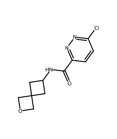 O=C(NC1CC2(COC2)C1)c1ccc(Cl)nn1